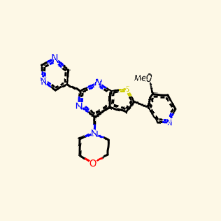 COc1ccncc1-c1cc2c(N3CCOCC3)nc(-c3cncnc3)nc2s1